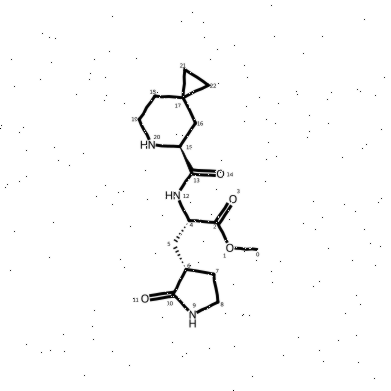 COC(=O)[C@H](C[C@@H]1CCNC1=O)NC(=O)[C@@H]1CC2(CCN1)CC2